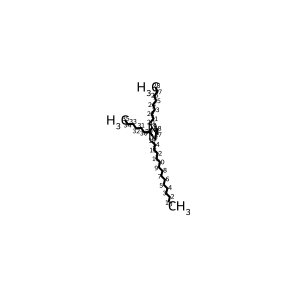 CCCCCCCCCCCCCCCCN1C=CN(CCCCCCCCC)C1CCCCCC